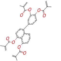 C=C(C)C(=O)Oc1ccc(-c2ccc(OC(=O)C(=C)C)c3c(OC(=O)C(=C)C)cccc23)cc1OC(=O)C(=C)C